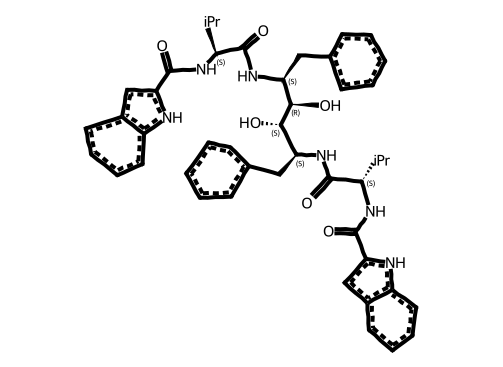 CC(C)[C@H](NC(=O)c1cc2ccccc2[nH]1)C(=O)N[C@@H](Cc1ccccc1)[C@H](O)[C@H](O)[C@H](Cc1ccccc1)NC(=O)[C@@H](NC(=O)c1cc2ccccc2[nH]1)C(C)C